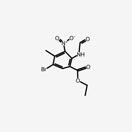 CCOC(=O)c1cc(Br)c(C)c([N+](=O)[O-])c1NC=O